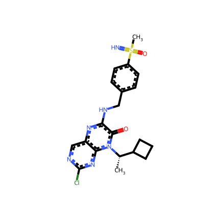 C[C@@H](C1CCC1)n1c(=O)c(NCc2ccc(S(C)(=N)=O)cc2)nc2cnc(Cl)nc21